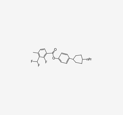 CCCC1CCC(c2ccc(OC(=O)c3ccc(C)c(C(F)F)c3F)cc2)CC1